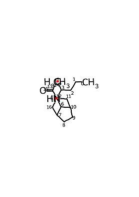 CCCC(C)NC1C2CCC1CN(C(C)=O)C2